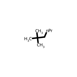 C[CH]CCC(C)(C)C